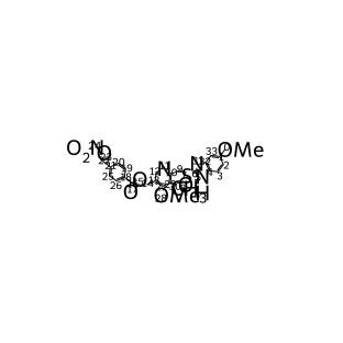 COc1ccc2[nH]c([S+]([O-])Cc3ncc(COC(=O)c4ccc(CO[N+](=O)[O-])cc4)c(OC)c3C)nc2c1